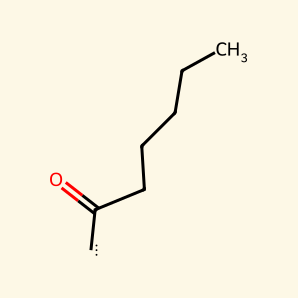 [C]C(=O)CCCCC